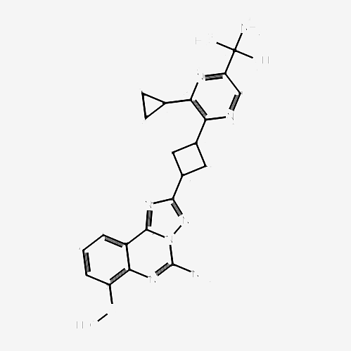 COc1cccc2c1nc(N)n1nc(C3CC(c4ncc(C(C)(C)N)nc4C4CC4)C3)nc21